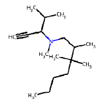 C#CC(C(C)C)N(C)CC(C)C(C)(C)CCCC